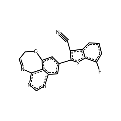 N#Cc1c(-c2cc3c4c(ncnc4c2)N=CCO3)sc2c(F)cccc12